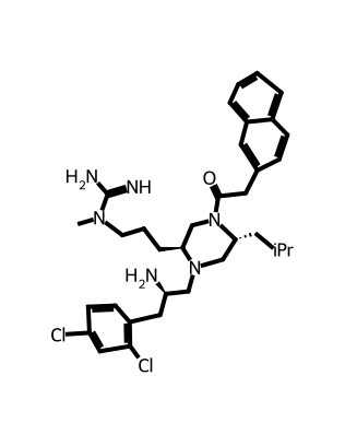 CC(C)C[C@@H]1CN(C[C@H](N)Cc2ccc(Cl)cc2Cl)[C@@H](CCCN(C)C(=N)N)CN1C(=O)Cc1ccc2ccccc2c1